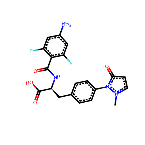 Cn1ccc(=O)n1-c1ccc(C[C@H](NC(=O)c2c(F)cc(N)cc2F)C(=O)O)cc1